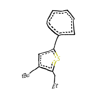 CCc1sc(-c2ccccc2)cc1C(C)(C)C